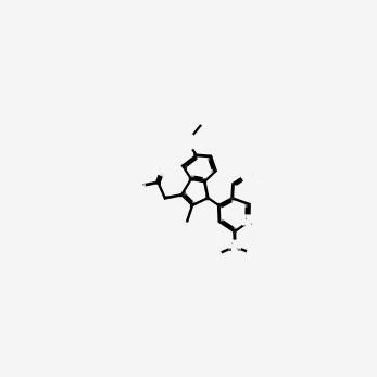 COc1ccc2c(c1)C(CC(=O)O)=C(C)C2c1cc(N(C)C)ncc1C=O